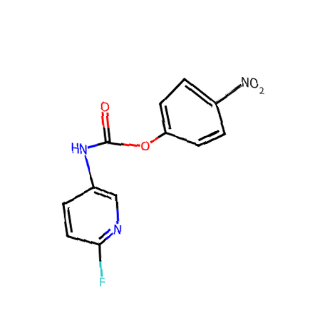 O=C(Nc1ccc(F)nc1)Oc1ccc([N+](=O)[O-])cc1